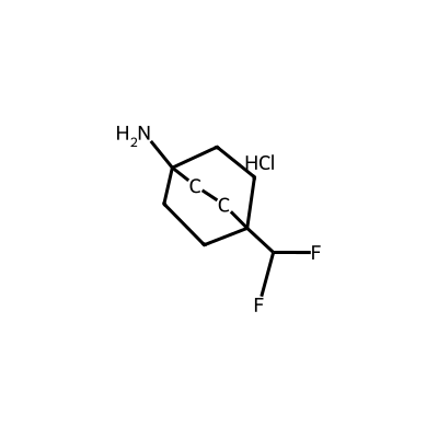 Cl.NC12CCC(C(F)F)(CC1)CC2